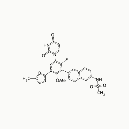 COc1c(-c2ccc(C)o2)cc(-n2ccc(=O)[nH]c2=O)c(F)c1-c1ccc2cc(NS(C)(=O)=O)ccc2c1